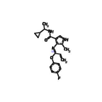 C=C/C(=N\c1c(C(=O)NC(C)C2CC2)c[nH]c1C)Oc1ccc(F)cc1